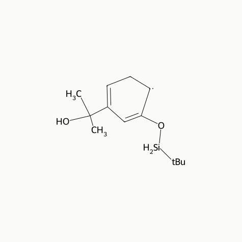 CC(C)(C)[SiH2]OC1=CC(C(C)(C)O)=CC[CH]1